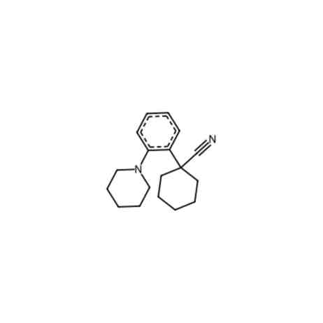 N#CC1(c2ccccc2N2CCCCC2)CCCCC1